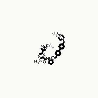 CN1CCN(Cc2ccc(-c3ccc(CO[C@H]4CCC[C@@H]4NC(=O)c4nc(-c5cnn(C)c5)cnc4N)cc3)cc2)CC1